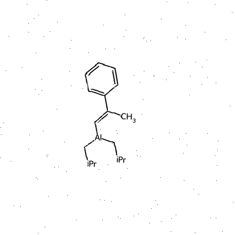 C/C(=[CH]\[Al]([CH2]C(C)C)[CH2]C(C)C)c1ccccc1